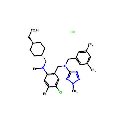 CCc1cc(N(CC)C[C@H]2CC[C@H](CC(=O)O)CC2)c(CN(Cc2cc(C(F)(F)F)cc(C(F)(F)F)c2)c2nnn(C)n2)cc1Cl.Cl